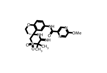 COc1cnc(C(=O)Nc2ccc3c(c2)[C@]2(CCO3)CS(=O)(=O)C(C)(C)C(=N)N2)cn1